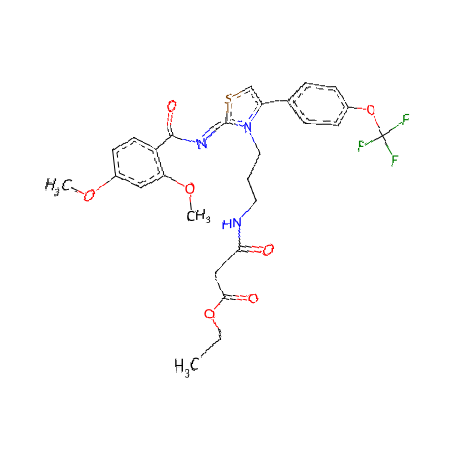 CCOC(=O)CC(=O)NCCCn1c(-c2ccc(OC(F)(F)F)cc2)cs/c1=N\C(=O)c1ccc(OC)cc1OC